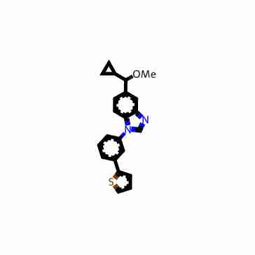 COC(c1ccc2c(c1)ncn2-c1cccc(-c2cccs2)c1)C1CC1